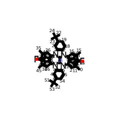 Cc1cc(N2/C(=C3\N(c4cc(C)c(F)c(C)c4)c4ccc(C(C)(C)C)cc4N3c3cc(C)c(F)c(C)c3)N(c3cc(C)c(F)c(C)c3)c3cc(C(C)(C)C)ccc32)cc(C)c1F